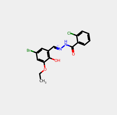 CCOc1cc(Br)cc(/C=N/NC(=O)c2ccccc2Cl)c1O